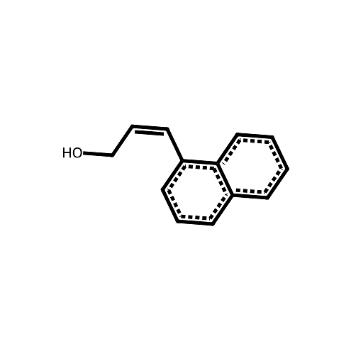 OC/C=C\c1cccc2ccccc12